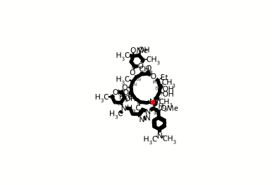 CC[C@H]1OC(=O)C(C)[C@@H](O[C@H]2C[C@@](C)(OC)[C@@H](O)[C@H](C)O2)[C@H](C)[C@@H](O[C@@H]2O[C@H](C)C[C@H](N(C)CCc3cn([C@H](CF)[C@H](OC)c4ccc(N(C)C)cc4)nn3)[C@H]2O)[C@](C)(O)C[C@@H](C)CN(C)[C@H](C)[C@@H](O)[C@]1(C)O